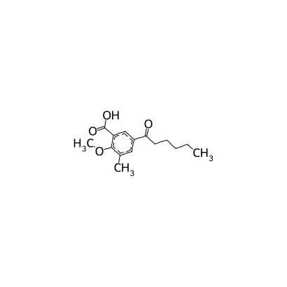 CCCCCC(=O)c1cc(C)c(OC)c(C(=O)O)c1